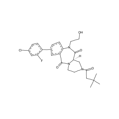 CC(C)(C)CC(=O)N1CCN2C(=O)c3cc(-c4ccc(Cl)cc4F)ccc3N(CCO)C(=O)[C@H]2C1